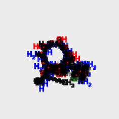 CCCCCCCCCC(=O)N[C@@H](Cc1c[nH]c2ccccc12)C(=O)N[C@@H](CC(N)=O)C(=O)N[C@@H](CC(=O)O)C(=O)N[C@@H]1C(=O)NCC(=O)N[C@@H](CCCN)C(=O)N[C@@H](CC(=O)O)C(=O)N[C@H](C)C(=O)N[C@@H](CC(=O)O)C(=O)NCC(=O)N[C@H](CO)C(=O)N[C@@H]([C@H](C)CC(=O)O)C(=O)N[C@@H](CC(=O)c2ccccc2N)C(=O)O[C@@H]1C.CCc1nc(N)nc(N)c1-c1ccc(Cl)cc1.Nc1ccc(S(=O)(=O)c2ccc(N)cc2)cc1